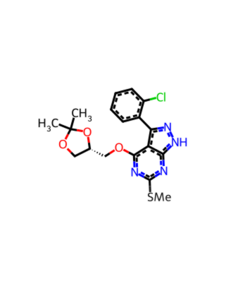 CSc1nc(OC[C@@H]2COC(C)(C)O2)c2c(-c3ccccc3Cl)n[nH]c2n1